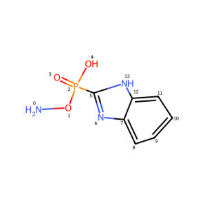 NOP(=O)(O)c1nc2ccccc2[nH]1